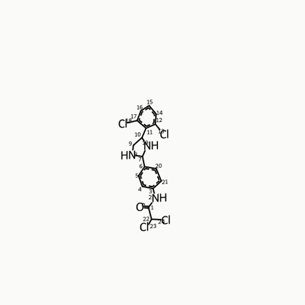 O=C(Nc1ccc(C2NCC(c3c(Cl)cccc3Cl)N2)cc1)C(Cl)Cl